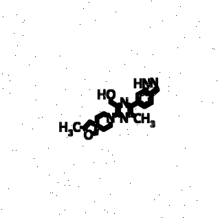 Cc1nc(N2CCC3(CC2)CO[C@@H](C)C3)c(CO)nc1-c1ccc2cn[nH]c2c1